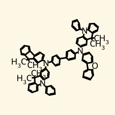 CC1(C)c2ccccc2-c2ccc(N(c3ccc(-c4ccc(N(c5ccc6c(c5)C(C)(C)c5ccccc5N6c5ccccc5)c5ccc6oc7ccccc7c6c5)cc4)cc3)c3ccc4c(c3)C(C)(C)c3ccccc3N4c3ccccc3)cc21